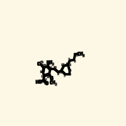 CCCCN1CCCC(CCc2c(N)c(Cl)cc(C(=O)O)c2OC)C1